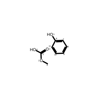 COC(=O)O.Oc1ccccc1